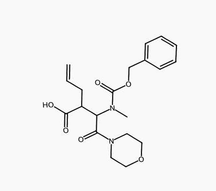 C=CCC(C(=O)O)C(C(=O)N1CCOCC1)N(C)C(=O)OCc1ccccc1